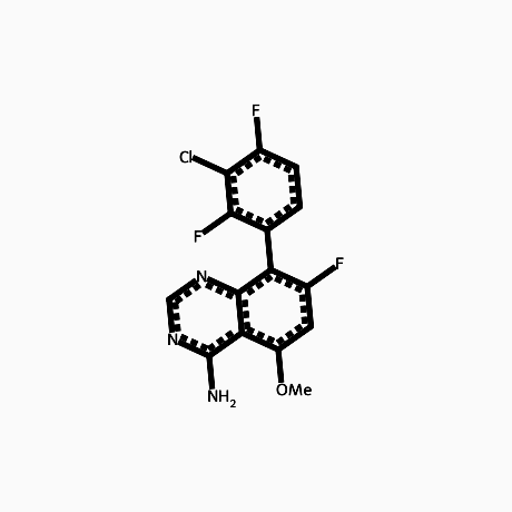 COc1cc(F)c(-c2ccc(F)c(Cl)c2F)c2ncnc(N)c12